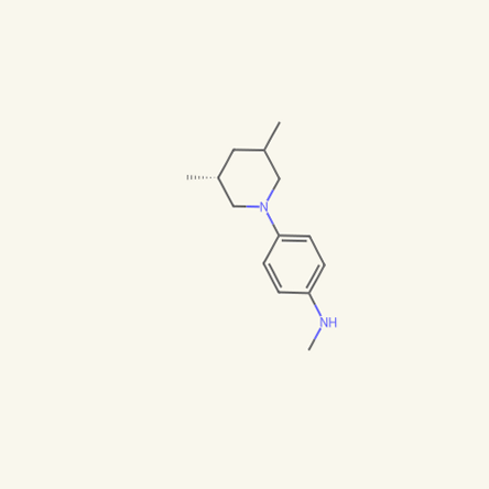 CNc1ccc(N2CC(C)C[C@@H](C)C2)cc1